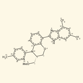 COC[C@H]1COc2c(-c3nc4c(C(F)(F)F)cc(C(F)(F)F)cc4[nH]3)cccc2N1c1ccc(C)cn1